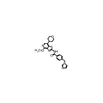 COc1ncc(C2CCOCC2)c2sc(NC(=O)c3ccc(Cn4ccnc4)cc3)nc12